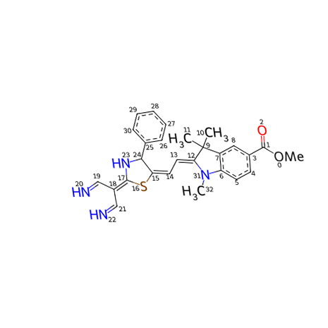 COC(=O)c1ccc2c(c1)C(C)(C)/C(=C/C=C1/SC(=C(C=N)C=N)NC1c1ccccc1)N2C